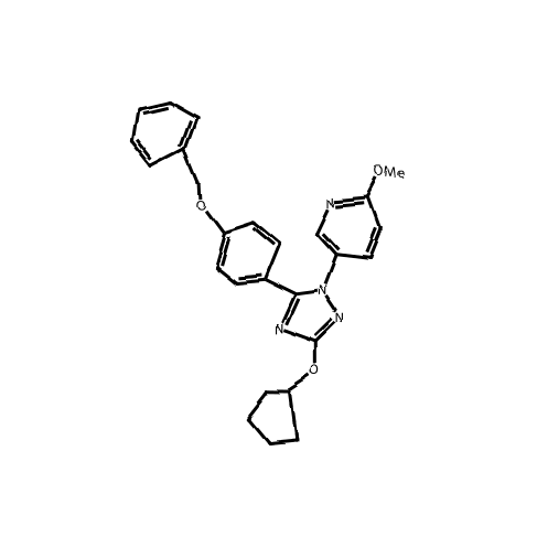 COc1ccc(-n2nc(OC3CCCC3)nc2-c2ccc(OCc3ccccc3)cc2)cn1